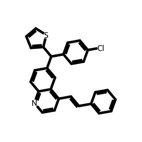 Clc1ccc(C(c2ccc3nccc(C=Cc4ccccc4)c3c2)c2cccs2)cc1